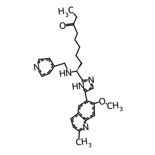 CCC(=O)CCCCC[C@H](NCc1ccncc1)c1ncc(-c2cc3ccc(C)nc3cc2OC)[nH]1